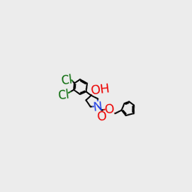 O=C(OCc1ccccc1)N1CCC(O)(c2ccc(Cl)c(Cl)c2)C1